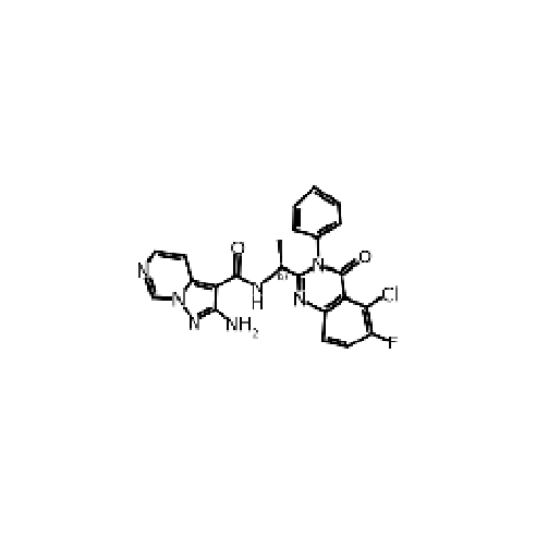 C[C@H](NC(=O)c1c(N)nn2cnccc12)c1nc2ccc(F)c(Cl)c2c(=O)n1-c1ccccc1